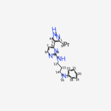 CC(C)c1n[nH]cc1-c1ccnc(NCCCN(C)c2ccccc2)n1